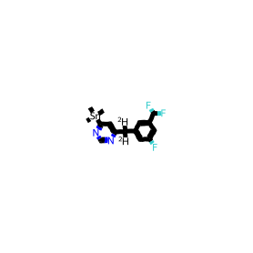 [2H]C([2H])(c1cc(F)cc(C(F)F)c1)c1c[c]([Sn]([CH3])([CH3])[CH3])ncn1